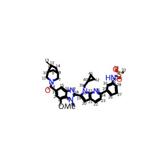 COc1cc(C(=O)N2CC3CC(C2)[C@@H](C)C3)cc2nc(-c3cc4ccc(-c5cccc(NS(C)(=O)=O)c5)nc4n3CC3CC3)n(C)c12